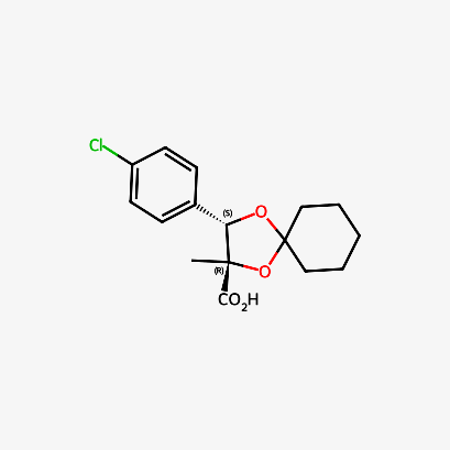 C[C@@]1(C(=O)O)OC2(CCCCC2)O[C@H]1c1ccc(Cl)cc1